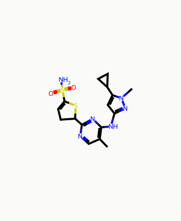 Cc1cnc(C2CC=C(S(N)(=O)=O)S2)nc1Nc1cc(C2CC2)n(C)n1